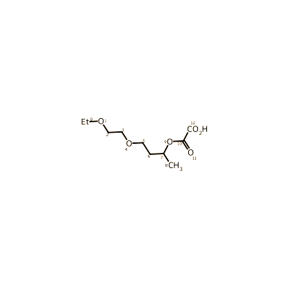 CCOCCOCCC(C)OC(=O)C(=O)O